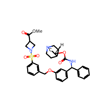 COC(=O)C1CN(S(=O)(=O)c2cccc(COc3cccc([C@@H](NC(=O)O[C@H]4CN5CCC4CC5)c4ccccc4)c3)c2)C1